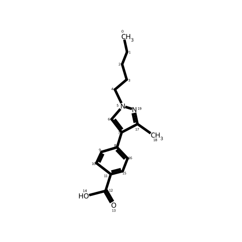 CCCCCn1cc(-c2ccc(C(=O)O)cc2)c(C)n1